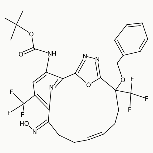 CC(C)(C)OC(=O)Nc1cc(C(F)(F)F)c2nc1-c1nnc(o1)C(OCc1ccccc1)(C(F)(F)F)CC/C=C\CC/C2=N/O